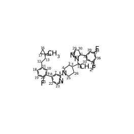 C=C(C1CCN(c2cc(-c3cc(CCC4(C)CC4)ccc3F)ccn2)CC1)N1N=CCC1c1cc(F)cc(F)c1